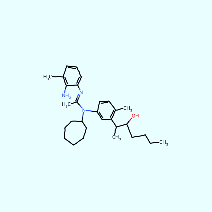 CCCCC(O)C(C)c1cc(N(/C(C)=N/c2cccc(C)c2N)C2CCCCCC2)ccc1C